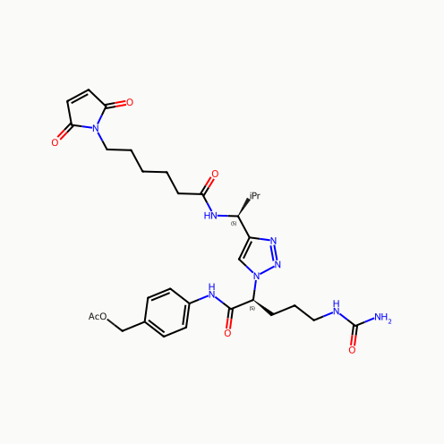 CC(=O)OCc1ccc(NC(=O)[C@H](CCCNC(N)=O)n2cc([C@@H](NC(=O)CCCCCN3C(=O)C=CC3=O)C(C)C)nn2)cc1